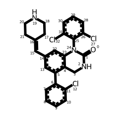 O=C1NCc2c(-c3ccccc3Cl)cc(C=C3CCNCC3)cc2N1c1c(Cl)cccc1Cl